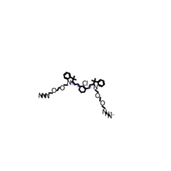 CC1(C)C(/C=C/C2=C(Cl)C(=C/C=C3/N(CCOCCOCCN=[N+]=[N-])c4ccccc4C3(C)C)/CCC2)=[N+](CCOCCOCCN=[N+]=[N-])c2ccccc21